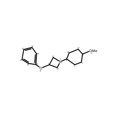 COC1CCC(N2CC(Oc3ccccc3)C2)CC1